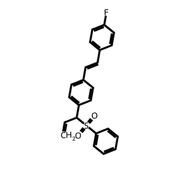 C=CC(c1ccc(/C=C/c2ccc(F)cc2)cc1)S(=O)(=O)c1ccccc1